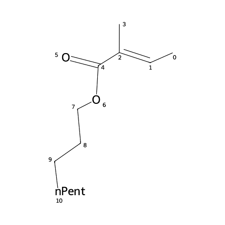 CC=C(C)C(=O)OCCCCCCCC